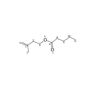 C=C(C)CCOC(=O)CCCC